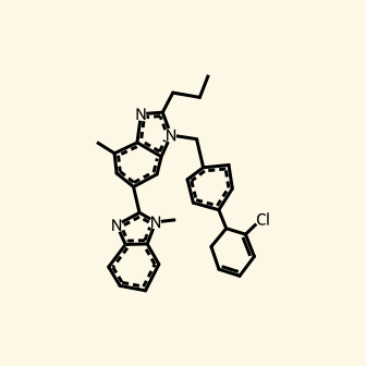 CCCc1nc2c(C)cc(-c3nc4ccccc4n3C)cc2n1Cc1ccc(C2CC=CC=C2Cl)cc1